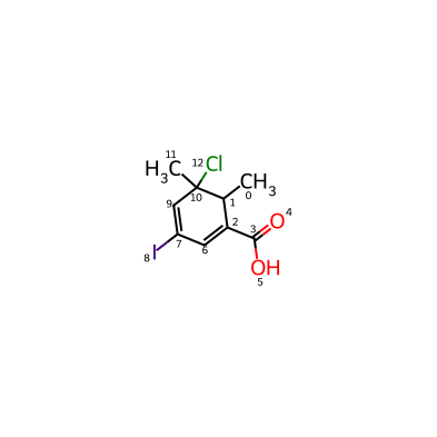 CC1C(C(=O)O)=CC(I)=CC1(C)Cl